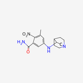 Cc1cc(NC2CN3CCC2CC3)cc(C(N)=O)c1[N+](=O)[O-]